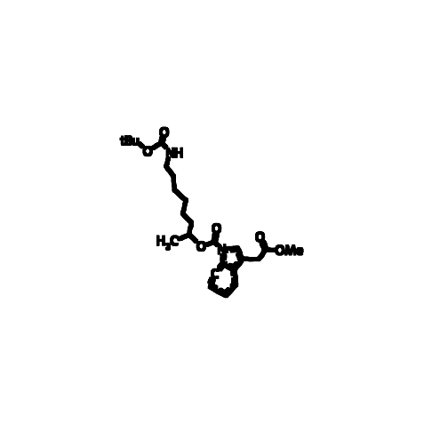 COC(=O)Cc1cn(C(=O)OC(C)CCCCCCNC(=O)OC(C)(C)C)c2ccccc12